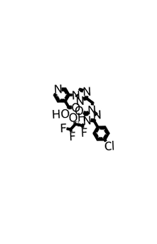 O=C(O)c1ccncc1-n1cnc(Cn2nc(-c3ccc(Cl)cc3)n(C(F)[C@H](O)C(F)F)c2=O)n1